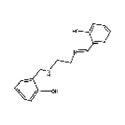 Oc1ccccc1C=NCCNCc1ccccc1O